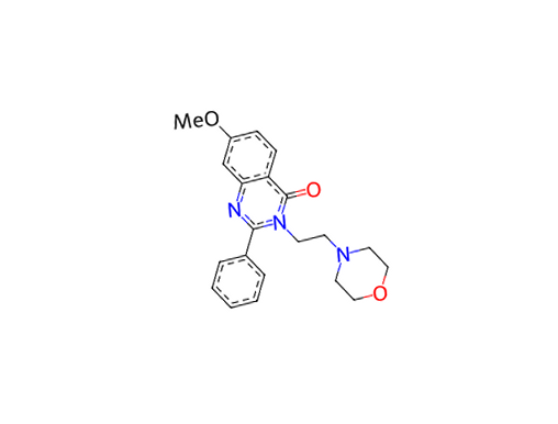 COc1ccc2c(=O)n(CCN3CCOCC3)c(-c3ccccc3)nc2c1